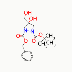 CC(C)(C)OC(=O)N1CC(O)(CO)CN1C(=O)OCc1ccccc1